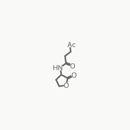 CC(=O)CCC(=O)NC1CCOC1=O